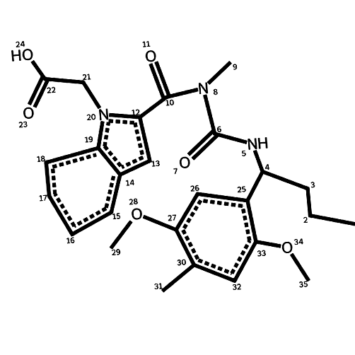 CCCCC(NC(=O)N(C)C(=O)c1cc2ccccc2n1CC(=O)O)c1cc(OC)c(C)cc1OC